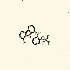 CN(c1ccccc1OC(F)(F)F)c1cccc2c1sc1c(F)cccc12